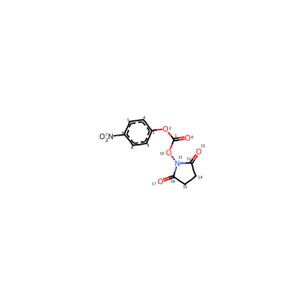 O=C(Oc1ccc([N+](=O)[O-])cc1)ON1C(=O)CCC1=O